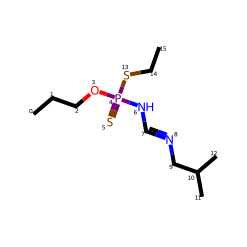 CCCOP(=S)(NC=NCC(C)C)SCC